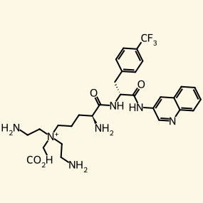 NCC[N+](CCN)(CCC[C@H](N)C(=O)N[C@H](Cc1ccc(C(F)(F)F)cc1)C(=O)Nc1cnc2ccccc2c1)CC(=O)O